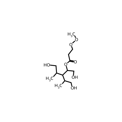 COOCCC(=O)OC(CO)C(C(C)CO)C(C)CO